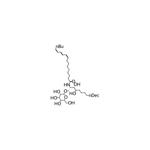 CCCC\C=C/C=C/C=C\CCCCCCCC(=O)N[C@@H](COC1OC(CO)C(O)C(O)C1O)[C@H](O)[C@H](O)CCCCCCCCCCCCCC